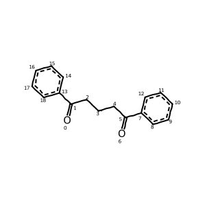 O=C(C[CH]CC(=O)c1ccccc1)c1ccccc1